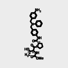 COC(=O)N[C@H](C(=O)N1CCC[C@H]1C(=O)Nc1ccc(CN(Cc2ccc(N)cc2)c2ccccc2)cc1)[C@H](C)O